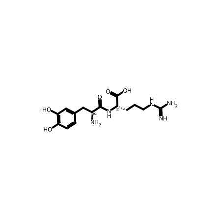 N=C(N)NCCC[C@H](NC(=O)[C@@H](N)Cc1ccc(O)c(O)c1)C(=O)O